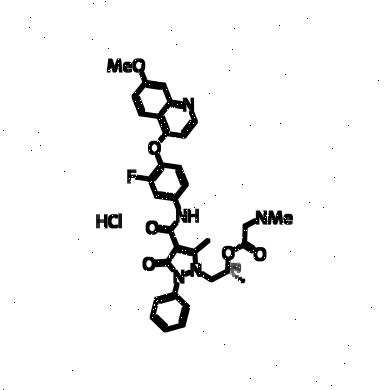 CNCC(=O)O[C@H](C)Cn1c(C)c(C(=O)Nc2ccc(Oc3ccnc4cc(OC)ccc34)c(F)c2)c(=O)n1-c1ccccc1.Cl